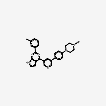 Cc1cccc(-c2nc(-c3cncc(-c4ccc(N5CCN(C(C)C)CC5)cc4)c3)c3cc[nH]c3n2)n1